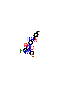 C=Cc1ccc(C(=O)NC2CCC(n3c(=O)c4cc(F)cnc4n(C4CCSCC4)c3=O)CC2)cc1